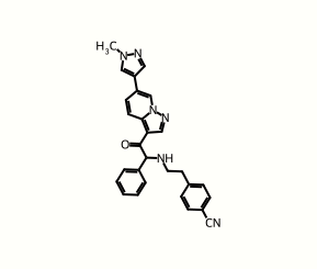 Cn1cc(-c2ccc3c(C(=O)C(NCCc4ccc(C#N)cc4)c4ccccc4)cnn3c2)cn1